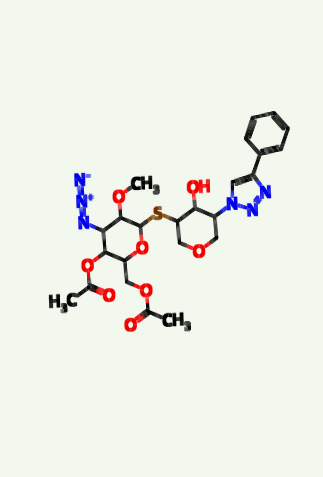 COC1C(SC2COCC(n3cc(-c4ccccc4)nn3)C2O)OC(COC(C)=O)C(OC(C)=O)C1N=[N+]=[N-]